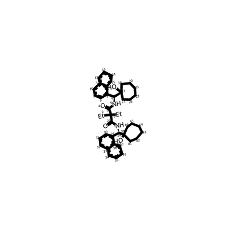 CCC(CC)(C(=O)N[C@@H](c1cccc2ccccc12)C1(O)CCCCCC1)C(=O)N[C@@H](c1cccc2ccccc12)C1(O)CCCCCC1